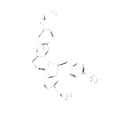 CCCOc1ccc(C=C2C(N)=CC=C3c4ccc(N)cc4C(=Cc4ccc(OCCC)cc4)C23)cc1